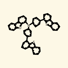 c1ccc2c(c1)oc1c(N(c3ccc(-c4cccc5c4sc4ccccc45)cc3)c3ccc(-c4cccc5c4sc4ccccc45)cc3)cccc12